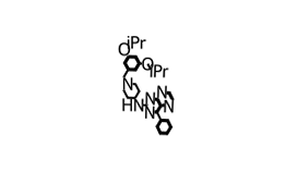 CC(C)Oc1cc(CN2CCC(Nc3nc(-c4ccccc4)c4nccnc4n3)CC2)cc(OC(C)C)c1